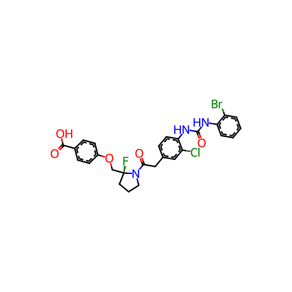 O=C(Nc1ccc(CC(=O)N2CCC[C@]2(F)COc2ccc(C(=O)O)cc2)cc1Cl)Nc1ccccc1Br